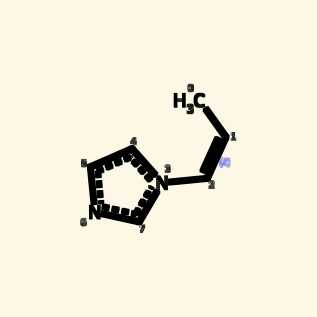 C/C=C\n1ccnc1